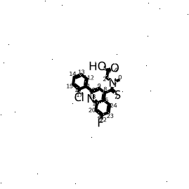 CN(CC(=O)O)C(=S)c1cc(-c2ccccc2Cl)nc2cc(F)ccc12